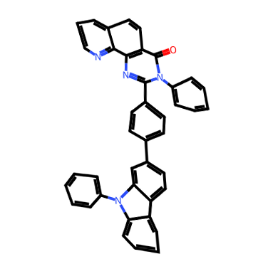 O=c1c2ccc3cccnc3c2nc(-c2ccc(-c3ccc4c5ccccc5n(-c5ccccc5)c4c3)cc2)n1-c1ccccc1